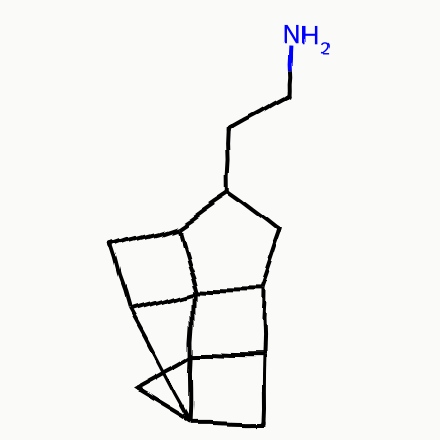 NCCC1CC2C3CC45CC34C23C1CC53